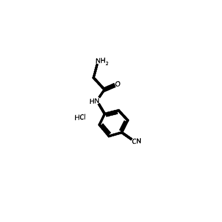 Cl.N#Cc1ccc(NC(=O)CN)cc1